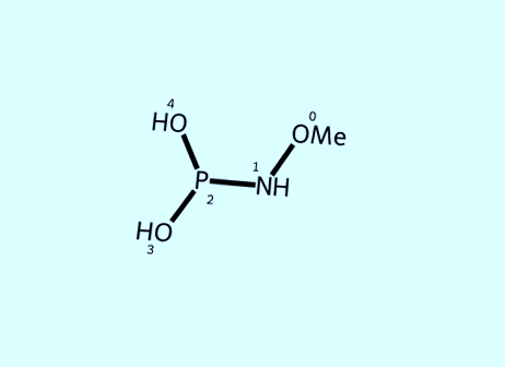 CONP(O)O